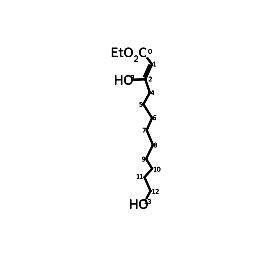 CCOC(=O)C=C(O)CCCCCCCCCO